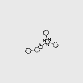 c1ccc(-c2ccc3cc(-c4nc(-c5ccccc5)nc(-c5ccccc5)n4)sc3c2)cc1